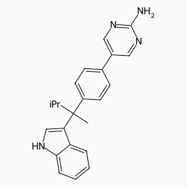 CC(C)C(C)(c1ccc(-c2cnc(N)nc2)cc1)c1c[nH]c2ccccc12